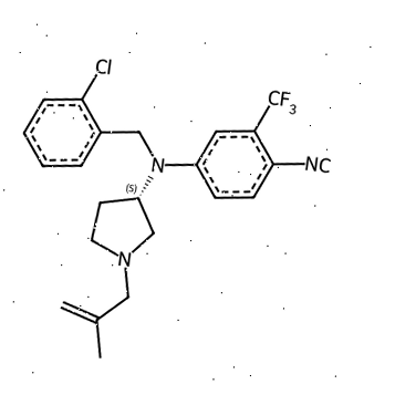 [C-]#[N+]c1ccc(N(Cc2ccccc2Cl)[C@H]2CCN(CC(=C)C)C2)cc1C(F)(F)F